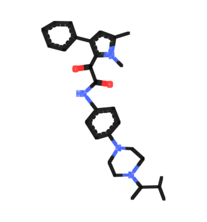 Cc1cc(-c2ccccc2)c(C(=O)C(=O)Nc2ccc(N3CCN(C(C)C(C)C)CC3)cc2)n1C